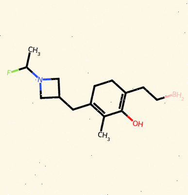 BCCC1=C(O)C(C)=C(CC2CN(C(C)F)C2)CC1